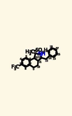 CS(=O)(=O)O.FC(F)(F)c1ccc2c(c1)CCC1C(Cc3ccccc3)NCC21